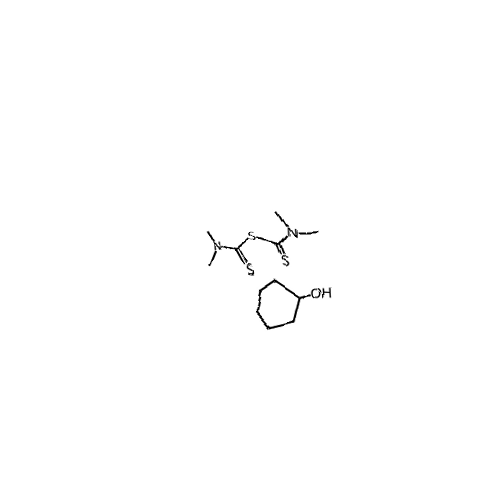 CN(C)C(=S)SC(=S)N(C)C.O[C]1CCCCC1